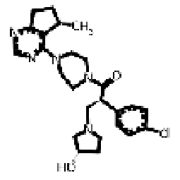 C[C@@H]1CCc2ncnc(N3CCN(C(=O)[C@H](CN4CC[C@H](O)C4)c4ccc(Cl)cc4)CC3)c21